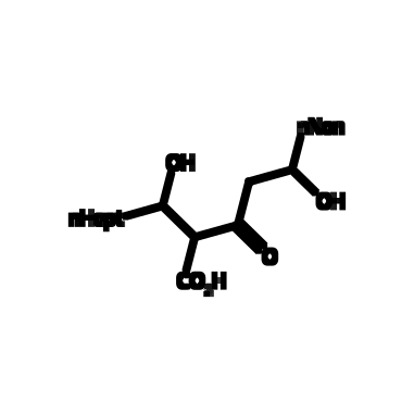 CCCCCCCCCC(O)CC(=O)C(C(=O)O)C(O)CCCCCCC